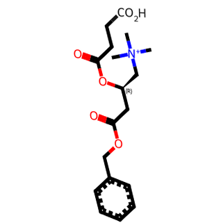 C[N+](C)(C)C[C@@H](CC(=O)OCc1ccccc1)OC(=O)CCC(=O)O